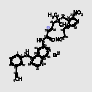 C#Cc1cccc(Nc2ncnc3cnc(NC(=O)/C=C/C[N+](C)(C)Cc4c([N+](=O)[O-])ncn4CCC#N)cc23)c1.[Br-]